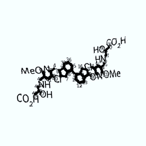 COc1nc(C[C@H]2CCc3c(-c4cccc5c4CC[C@@H]5Oc4nc(OC)c(CNC[C@@H](O)CC(=O)O)cc4Cl)cccc32)c(Cl)cc1CNC[C@@H](O)CC(=O)O